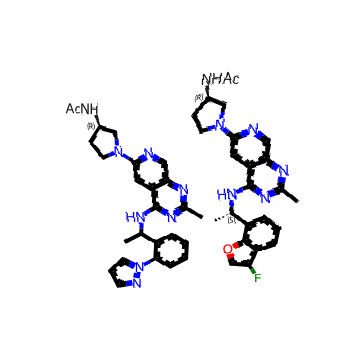 CC(=O)N[C@@H]1CCN(c2cc3c(NC(C)c4ccccc4-n4cccn4)nc(C)nc3cn2)C1.CC(=O)N[C@@H]1CCN(c2cc3c(N[C@@H](C)c4cccc5c(F)coc45)nc(C)nc3cn2)C1